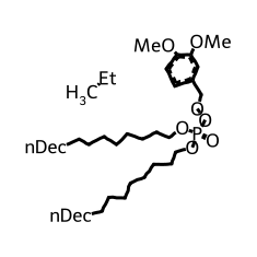 CCC.CCCCCCCCCCCCCCCCCCOP(=O)(OCCCCCCCCCCCCCCCCCC)OOCc1ccc(OC)c(OC)c1